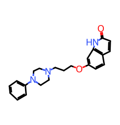 O=c1ccc2ccc(OCCCN3CCN(c4ccccc4)CC3)cc2[nH]1